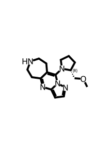 COC[C@H]1CCCN1c1c2c(nc3ccnn13)CCNCC2